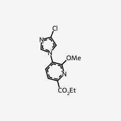 CCOC(=O)c1ccc(-n2cnc(Cl)c2)c(OC)n1